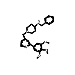 COc1cc(-c2cc(CN3CCC(NCc4ccccc4)CC3)ccn2)cc(OC)c1OC